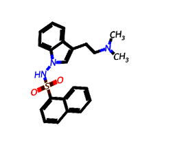 CN(C)CCc1cn(NS(=O)(=O)c2cccc3ccccc23)c2ccccc12